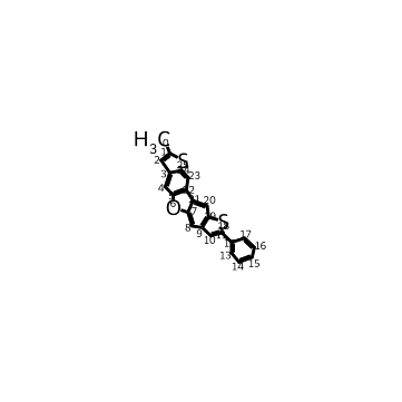 Cc1cc2cc3oc4cc5cc(-c6ccccc6)sc5cc4c3cc2s1